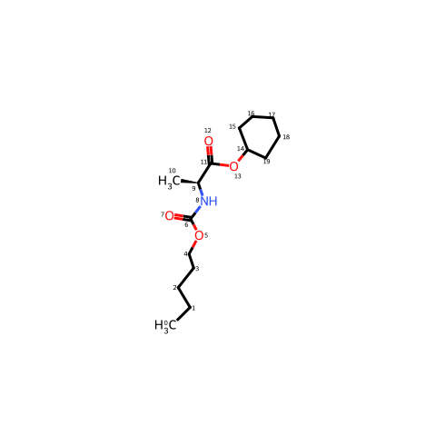 CCCCCOC(=O)N[C@@H](C)C(=O)OC1CCCCC1